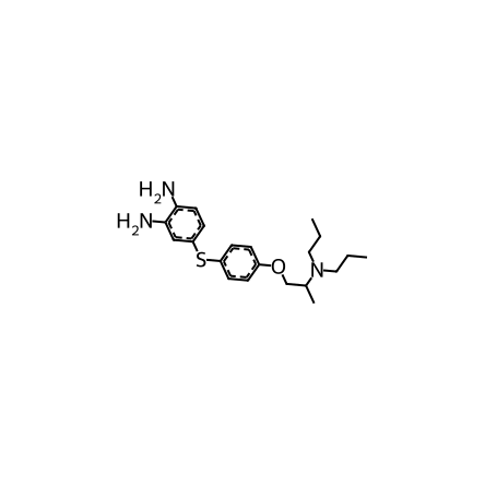 CCCN(CCC)C(C)COc1ccc(Sc2ccc(N)c(N)c2)cc1